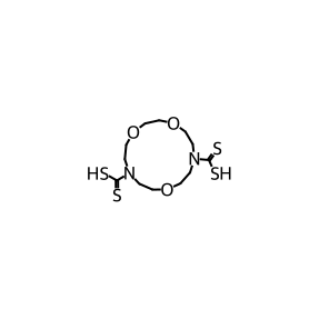 S=C(S)N1CCOCCOCCN(C(=S)S)CCOCC1